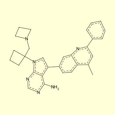 Cc1cc(-c2ccccc2)nc2cc(-c3cn(C4(CN5CCC5)CCC4)c4ncnc(N)c34)ccc12